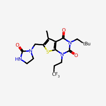 Cc1c(CN2CCNC2=O)sc2c1c(=O)n(CC(C)(C)C)c(=O)n2CCC(F)(F)F